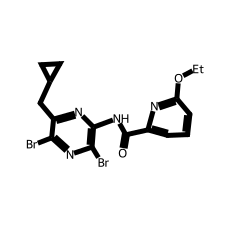 CCOc1cccc(C(=O)Nc2nc(CC3CC3)c(Br)nc2Br)n1